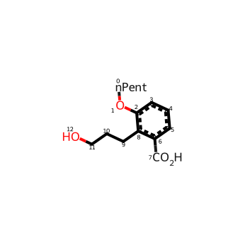 CCCCCOc1cccc(C(=O)O)c1CCCO